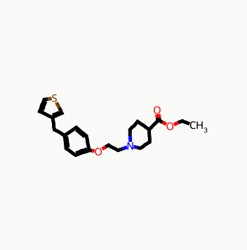 CCOC(=O)C1CCN(CCOc2ccc(Cc3ccsc3)cc2)CC1